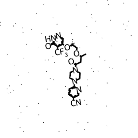 CC(CC(=O)N1CCN(c2ccc(C#N)cn2)CC1)OC[C@@H](C)Oc1cn[nH]c(=O)c1C(F)(F)F